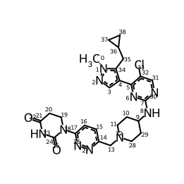 Cn1ncc(-c2nc(NC3CCN(Cc4ccc(N5CCC(=O)NC5=O)nn4)CC3)ncc2Cl)c1CC1CC1